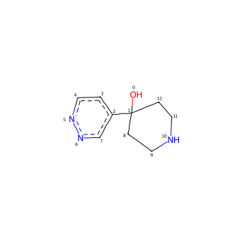 OC1(c2ccnnc2)CCNCC1